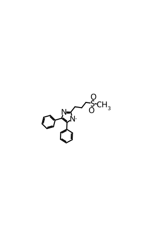 CS(=O)(=O)CCCC1=NC(c2ccccc2)=C(c2ccccc2)[N]1